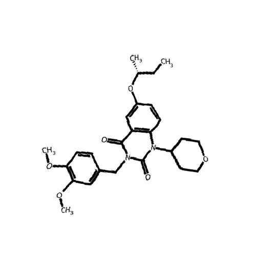 CC[C@@H](C)Oc1ccc2c(c1)c(=O)n(Cc1ccc(OC)c(OC)c1)c(=O)n2C1CCOCC1